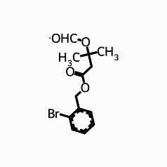 CC(C)(CC(=O)OCc1ccccc1Br)O[C]=O